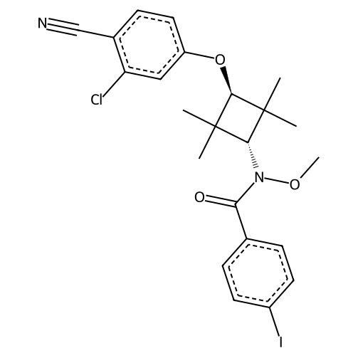 CON(C(=O)c1ccc(I)cc1)[C@H]1C(C)(C)[C@H](Oc2ccc(C#N)c(Cl)c2)C1(C)C